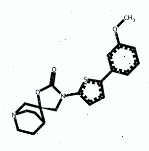 COc1cccc(-c2ccc(N3C[C@@]4(CN5CCC4CC5)OC3=O)s2)c1